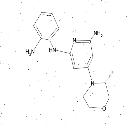 C[C@@H]1COCCN1c1cc(N)nc(Nc2ccccc2N)c1